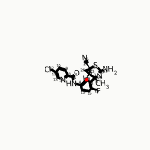 C[C@]1(c2cc(NC(=O)c3ccc(Cl)cn3)ccc2F)N=C(N)S[C@@]2(C#N)C[C@H]21